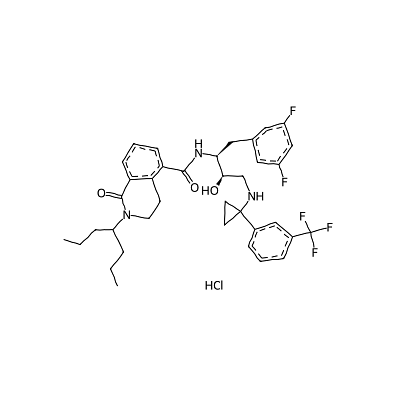 CCCC(CCC)N1CCc2c(C(=O)N[C@@H](Cc3cc(F)cc(F)c3)[C@H](O)CNC3(c4cccc(C(F)(F)F)c4)CC3)cccc2C1=O.Cl